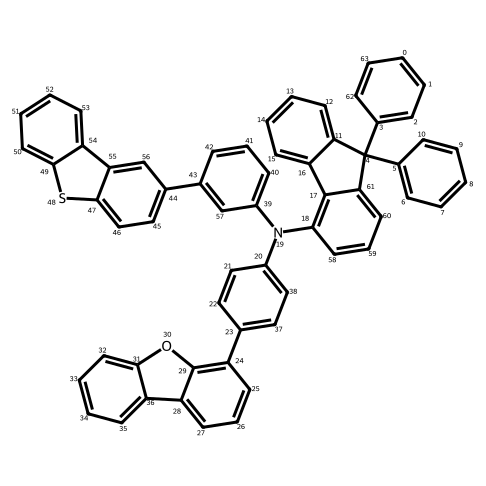 c1ccc(C2(c3ccccc3)c3ccccc3-c3c(N(c4ccc(-c5cccc6c5oc5ccccc56)cc4)c4cccc(-c5ccc6sc7ccccc7c6c5)c4)cccc32)cc1